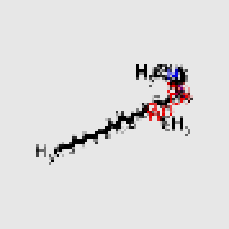 CCCCCCCCCCCCCCCCOCC(COP1(=O)OC2CC[N+](CC)(CC)C2O1)OC(C)=O